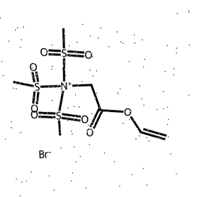 C=COC(=O)C[N+](S(C)(=O)=O)(S(C)(=O)=O)S(C)(=O)=O.[Br-]